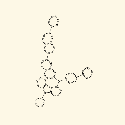 c1ccc(-c2ccc(N(c3ccc4ccc(-c5ccc6cc(-c7ccccc7)ccc6c5)cc4c3)c3cccc4c3c3ccccc3n4-c3ccccc3)cc2)cc1